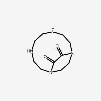 O=C1C(=O)N2CCNCCNCCN1CC2